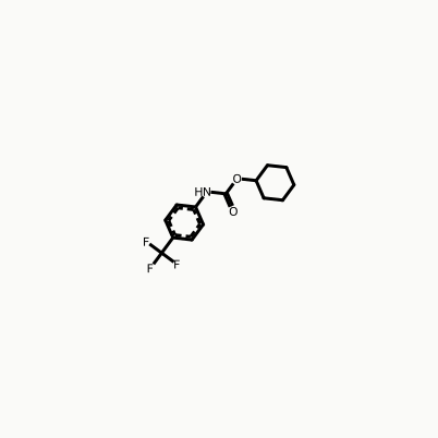 O=C(Nc1ccc(C(F)(F)F)cc1)OC1CCCCC1